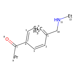 C=C(/C=C\C(=C/C)C(=O)C(C)C)CNCC